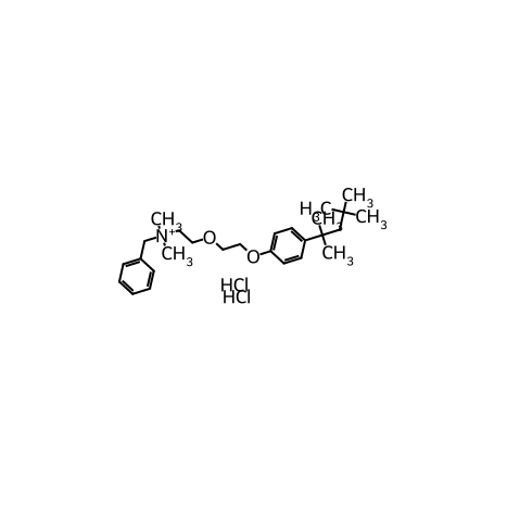 CC(C)(C)CC(C)(C)c1ccc(OCCOCC[N+](C)(C)Cc2ccccc2)cc1.Cl.Cl